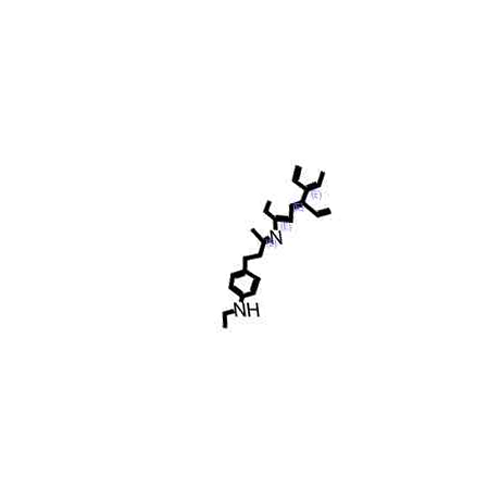 C=CC(=C\C)/C(C=C)=C/C=C(CC)/N=C(\C)CCc1ccc(NCC)cc1